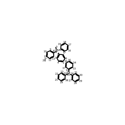 C[P+](c1ccccc1)(c1ccccc1)c1ccccc1.[I-].c1ccc(P(c2ccccc2)c2ccccc2)cc1